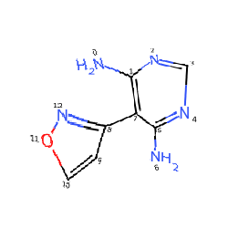 Nc1ncnc(N)c1-c1ccon1